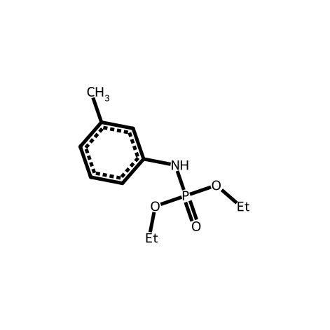 CCOP(=O)(Nc1cccc(C)c1)OCC